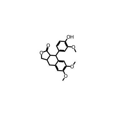 COc1cc(C2c3cc(OC)c(OC)cc3CC3COC(=O)C32)ccc1O